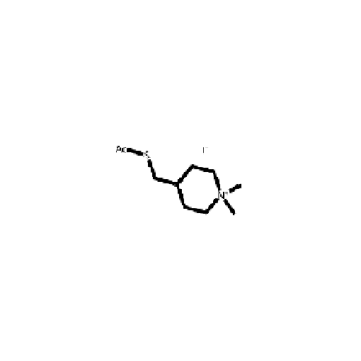 CC(=O)SCC1CC[N+](C)(C)CC1.[I-]